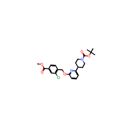 COC(=O)c1ccc(COc2cccc(C3CCN(C(=O)OC(C)(C)C)CC3)n2)c(Cl)c1